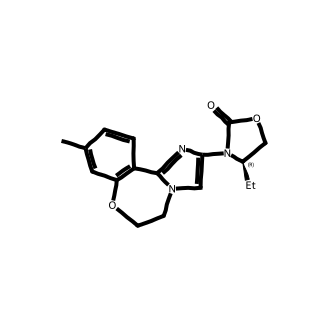 CC[C@@H]1COC(=O)N1c1cn2c(n1)-c1ccc(C)cc1OCC2